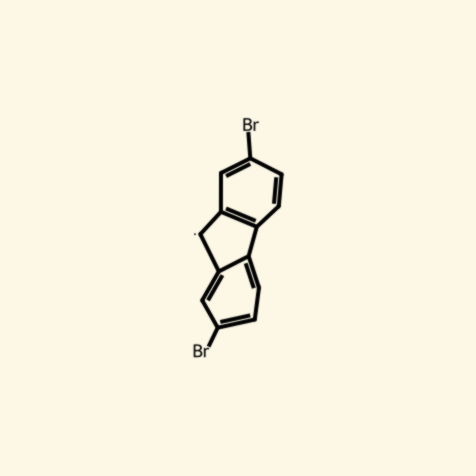 Brc1ccc2c(c1)[CH]c1cc(Br)ccc1-2